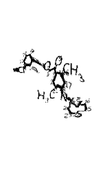 Cc1cc(C(=O)COc2cccc(Cl)c2)c(C)cc1/N=C/N1CCSCC1